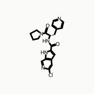 O=C(N[C@@H](Cc1ccncc1)C(=O)N1CCCC1)c1cc2cc(Cl)ncc2[nH]1